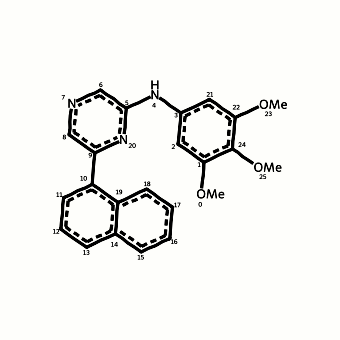 COc1cc(Nc2cncc(-c3cccc4ccccc34)n2)cc(OC)c1OC